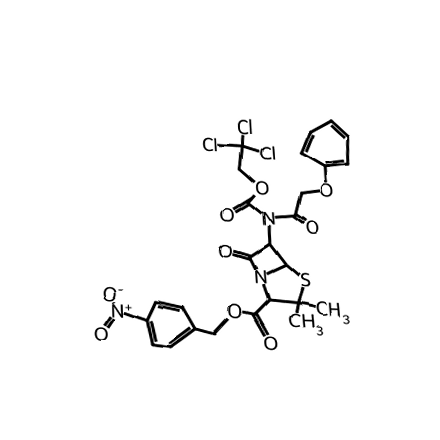 CC1(C)SC2C(N(C(=O)COc3ccccc3)C(=O)OCC(Cl)(Cl)Cl)C(=O)N2C1C(=O)OCc1ccc([N+](=O)[O-])cc1